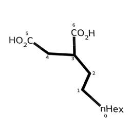 CCCCCCCCC(CC(=O)O)C(=O)O